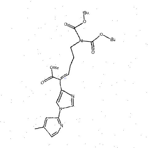 COC(=O)/C(=C\CCCN(C(=O)OC(C)(C)C)C(=O)OC(C)(C)C)c1cn(-c2cc(C)ccn2)cn1